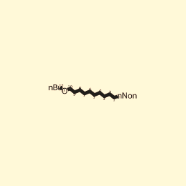 [CH2]CCCCCCCCCCCCCCCCCCOCCCC